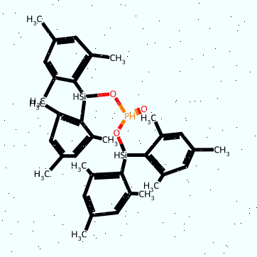 Cc1cc(C)c([SiH](O[PH](=O)O[SiH](c2c(C)cc(C)cc2C)c2c(C)cc(C)cc2C)c2c(C)cc(C)cc2C)c(C)c1